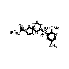 COc1ncc(C)cc1S(=O)(=O)N1CCOC2(CCN(C(=O)OC(C)(C)C)C2)C1